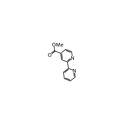 COC(=O)c1ccnc(-c2ccccn2)c1